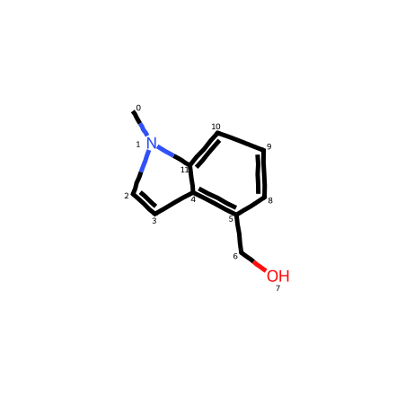 Cn1ccc2c(CO)cccc21